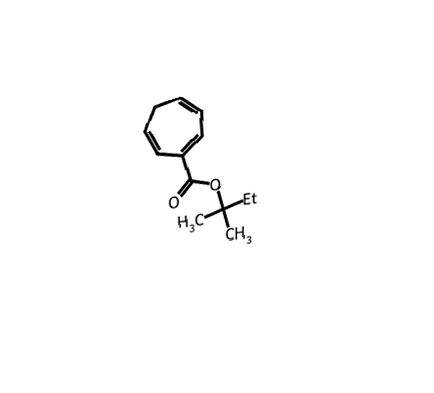 CCC(C)(C)OC(=O)C1=CC=CCC=C1